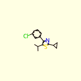 CC(C)c1sc(C2CC2)nc1-c1cccc(Cl)c1